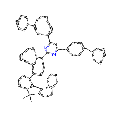 CC1(C)c2cccc(-c3ccc(-c4nc(-c5ccc(-c6ccccc6)cc5)cc(-c5cccc(-c6ccccc6)c5)n4)c4ccccc34)c2-c2c1ccc1ccccc21